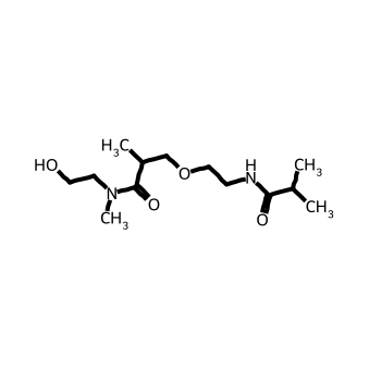 CC(C)C(=O)NCCOCC(C)C(=O)N(C)CCO